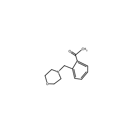 CC(=O)c1ccccc1CN1CCOCC1